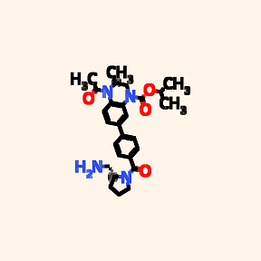 CC(=O)N1c2ccc(-c3ccc(C(=O)N4CCC[C@@H]4CN)cc3)cc2N(C(=O)OC(C)C)C[C@@H]1C